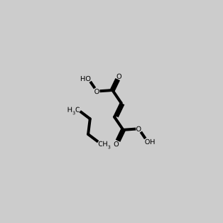 CCCC.O=C(/C=C/C(=O)OO)OO